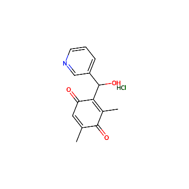 CC1=CC(=O)C(C(O)c2cccnc2)=C(C)C1=O.Cl